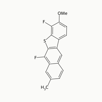 COc1ccc2c(sc3c(F)c4cc(C)ccc4cc32)c1F